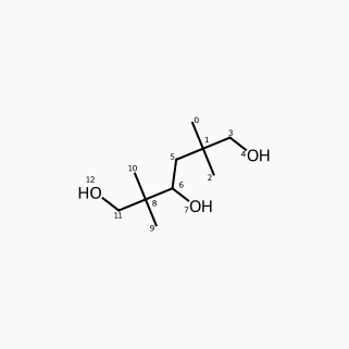 CC(C)(CO)CC(O)C(C)(C)CO